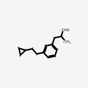 CC(C=O)Cc1cccc(CCC2CC2)c1